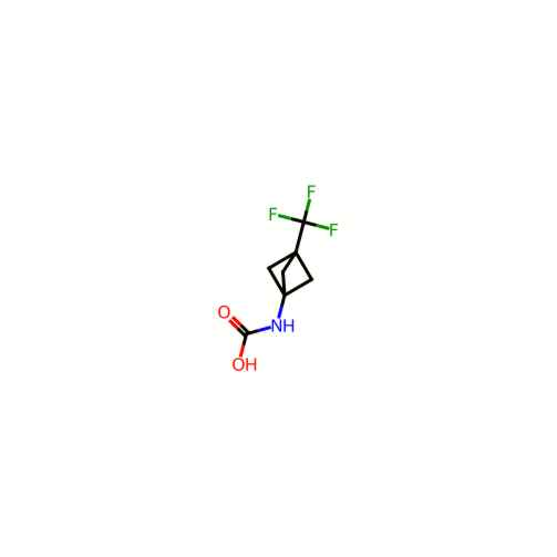 O=C(O)NC12CC(C(F)(F)F)(C1)C2